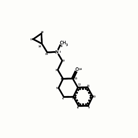 CN(CCC1CCc2ccccc2C1=O)CC1CC1